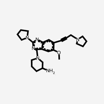 COc1cc2c(N3CCCC(N)C3)nc(N3CCCC3)nc2cc1C#CCN1CCCC1